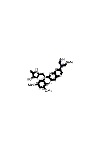 CN/C=C(\C=N)c1cnc2ccc(N(CC3CC(O)C(=O)N3)c3cc(OC)cc(OC)c3F)nc2n1